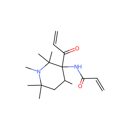 C=CC(=O)NC1(C(=O)C=C)C(C)CC(C)(C)N(C)C1(C)C